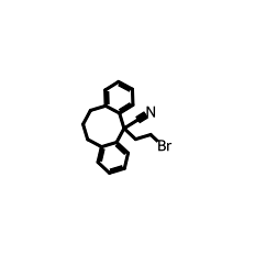 N#CC1(CCBr)c2ccccc2CCCc2ccccc21